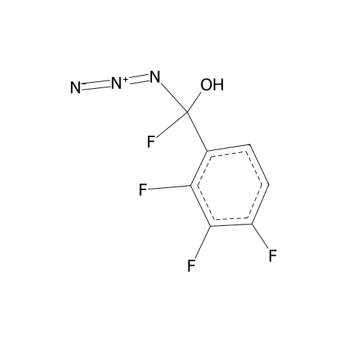 [N-]=[N+]=NC(O)(F)c1ccc(F)c(F)c1F